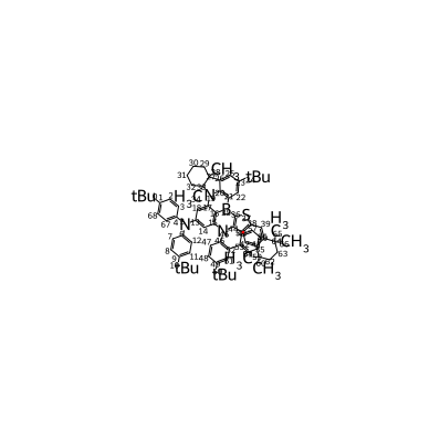 CC(C)(C)c1ccc(N(c2ccc(C(C)(C)C)cc2)c2cc3c4c(c2)N2c5c(cc(C(C)(C)C)cc5C5(C)CCCCC25C)B4c2sc4cc5c(cc4c2N3c2ccc(C(C)(C)C)cc2-c2ccccc2)C(C)(C)CCC5(C)C)cc1